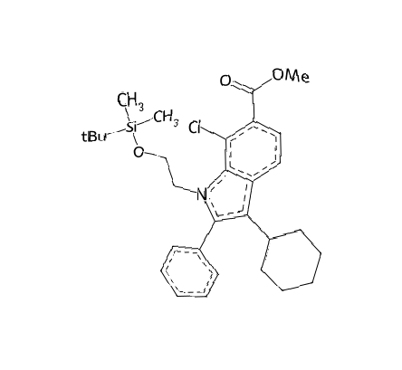 COC(=O)c1ccc2c(C3CCCCC3)c(-c3ccccc3)n(CCO[Si](C)(C)C(C)(C)C)c2c1Cl